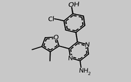 Cc1coc(-c2nc(N)cnc2-c2ccc(O)c(Cl)c2)c1C